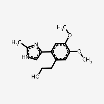 COc1cc(CCO)c(-c2c[nH]c(C)n2)cc1OC